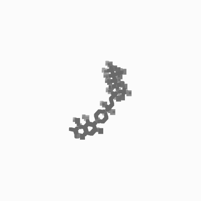 [2H]c1cc([2H])c(N([2H])C(C)=O)c([2H])c1N1CCN(C([2H])([2H])CCC([2H])([2H])N(C([2H])([2H])[2H])S(=O)(=O)C([2H])([2H])C([2H])(C([2H])([2H])[2H])C([2H])([2H])[2H])CC1